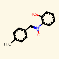 Cc1ccc(C=[N+]([O-])c2ccccc2O)cc1